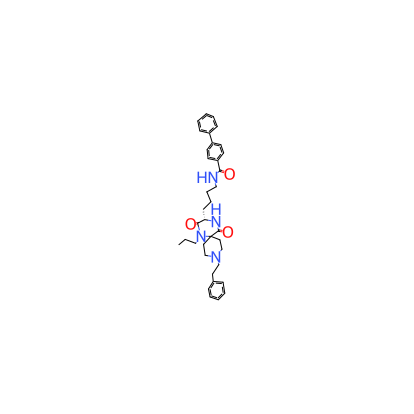 CCCN1C(=O)[C@H](CCCCNC(=O)c2ccc(-c3ccccc3)cc2)NC(=O)C12CCN(CCc1ccccc1)CC2